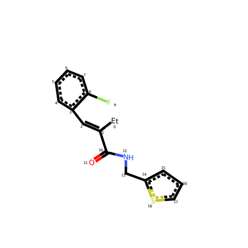 CCC(=Cc1ccccc1F)C(=O)NCc1cccs1